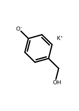 [K+].[O-]c1ccc(CO)cc1